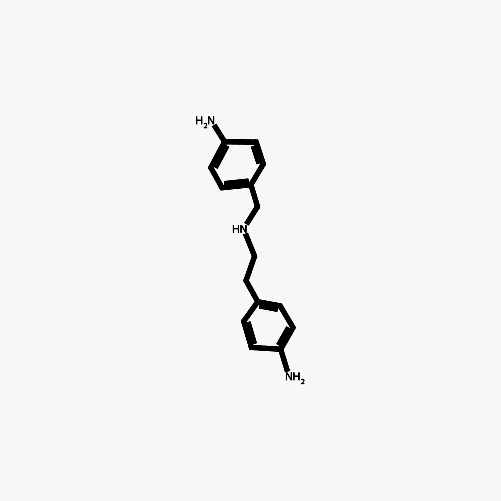 Nc1ccc(CCNCc2ccc(N)cc2)cc1